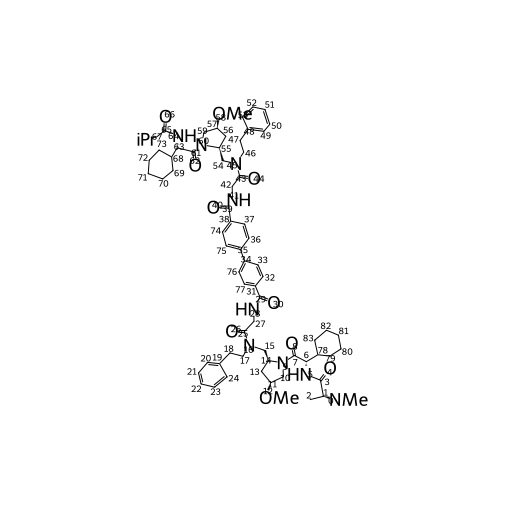 CN[C@@H](C)C(=O)N[C@H](C(=O)N1C[C@@H](OC)C[C@H]1CN(CCc1ccccc1)C(=O)CNC(=O)c1ccc(-c2ccc(C(=O)NCC(=O)N(CCc3ccccc3)C[C@@H]3C[C@H](OC)CN3C(=O)[C@@H](NC(=O)C(C)C)C3CCCCC3)cc2)cc1)C1CCCCC1